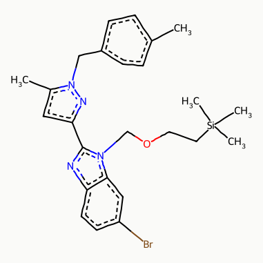 Cc1ccc(Cn2nc(-c3nc4ccc(Br)cc4n3COCC[Si](C)(C)C)cc2C)cc1